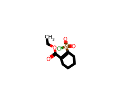 CCOC(=O)C1=C(S(=O)(=O)Cl)CCCC1